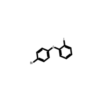 Brc1ccc(Sc2ccccc2I)cc1